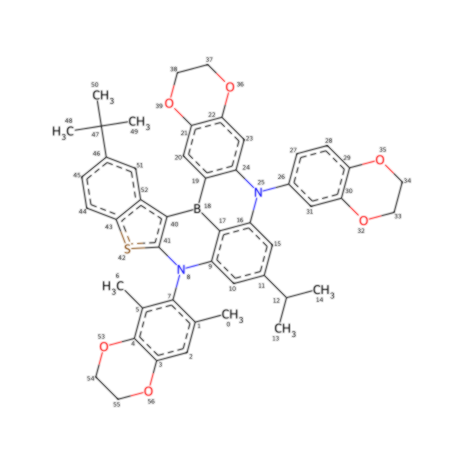 Cc1cc2c(c(C)c1N1c3cc(C(C)C)cc4c3B(c3cc5c(cc3N4c3ccc4c(c3)OCCO4)OCCO5)c3c1sc1ccc(C(C)(C)C)cc31)OCCO2